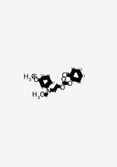 CCN(CCOC(=O)Oc1ccccc1Cl)c1cccc(OC)c1